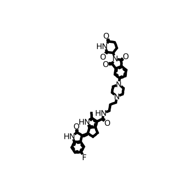 Cc1[nH]c2c(c1C(=O)NCCCN1CCN(c3ccc4c(c3)C(=O)N(C3CCC(=O)NC3=O)C4=O)CC1)CC/C2=C1/C(=O)Nc2ccc(F)cc21